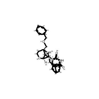 Cc1cn([C@@H]2O[C@@]3(COCc4ccccc4)CCO[C@H]2[C@H]3OCc2ccccc2)c(=O)[nH]c1=O